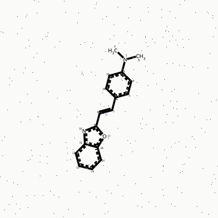 CN(C)c1ccc(/C=C/c2nc3ccccc3o2)cc1